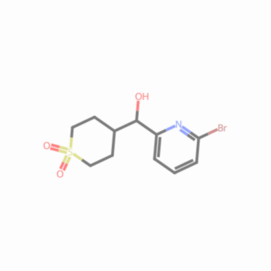 O=S1(=O)CCC(C(O)c2cccc(Br)n2)CC1